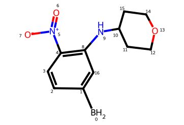 Bc1ccc([N+](=O)[O-])c(NC2CCOCC2)c1